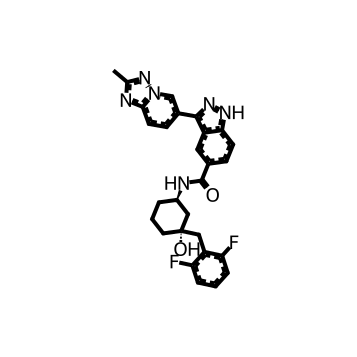 Cc1nc2ccc(-c3n[nH]c4ccc(C(=O)N[C@@H]5CCC[C@](O)(Cc6c(F)cccc6F)C5)cc34)cn2n1